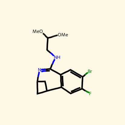 COC(CNC1=NC2CC(C2)c2cc(F)c(Br)cc21)OC